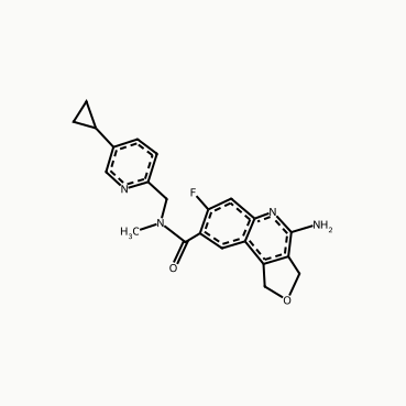 CN(Cc1ccc(C2CC2)cn1)C(=O)c1cc2c3c(c(N)nc2cc1F)COC3